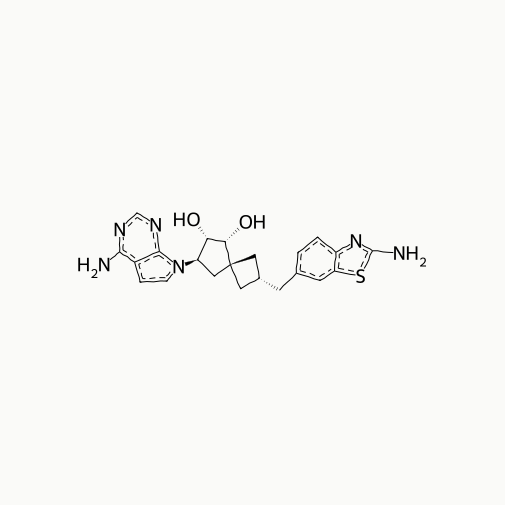 Nc1nc2ccc(C[C@H]3C[C@]4(C[C@@H](n5ccc6c(N)ncnc65)[C@H](O)[C@@H]4O)C3)cc2s1